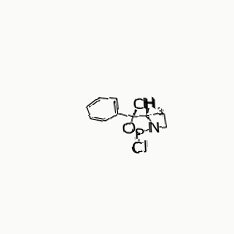 C[C@]1(c2ccccc2)OP(Cl)N2CC[C@H]21